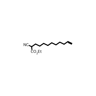 C=CCCCCCCCCC(C#N)C(=O)OCC